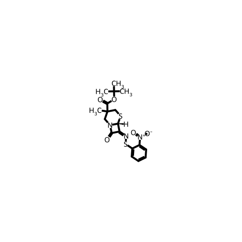 CC(C)(C)OC(=O)C1(C)CS[C@@H]2C(=NSc3ccccc3[N+](=O)[O-])C(=O)N2C1